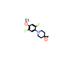 CCOc1cc(F)c(N2CCC3(CC2)CO3)cc1F